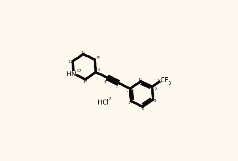 Cl.FC(F)(F)c1cccc(C#CC2CCCNC2)c1